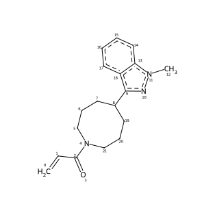 C=CC(=O)N1CCCC(c2nn(C)c3ccccc23)CCC1